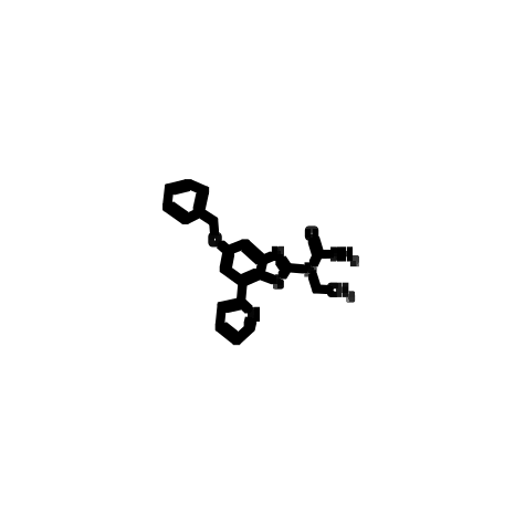 CCN(C(N)=O)c1nc2cc(OCc3ccccc3)cc(-c3ccccn3)c2s1